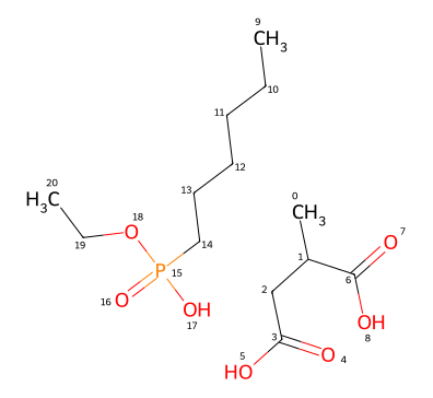 CC(CC(=O)O)C(=O)O.CCCCCCP(=O)(O)OCC